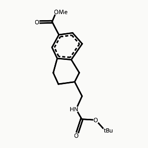 COC(=O)c1ccc2c(c1)CCC(CNC(=O)OC(C)(C)C)C2